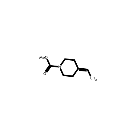 [CH2]C=C1CCN(C(=O)OC)CC1